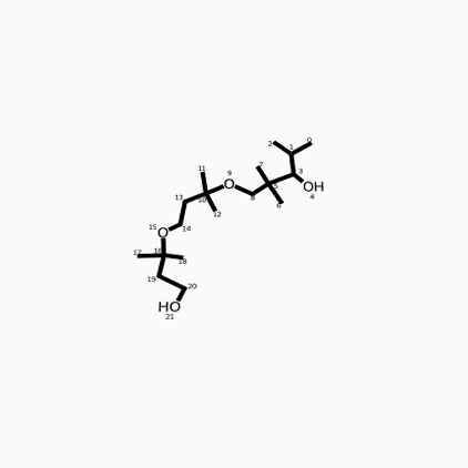 CC(C)C(O)C(C)(C)COC(C)(C)CCOC(C)(C)CCO